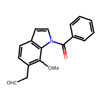 COc1c(CC=O)ccc2ccn(C(=O)c3ccccc3)c12